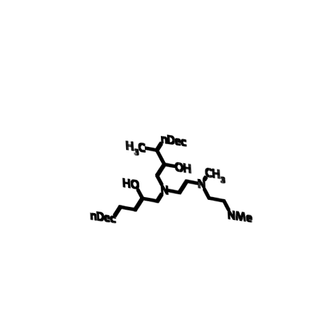 CCCCCCCCCCCCC(O)CN(CCN(C)CCNC)CC(O)C(C)CCCCCCCCCC